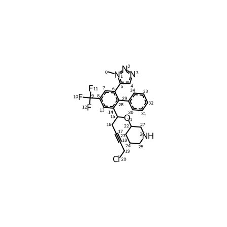 Cn1nncc1-c1cc(C(F)(F)F)cc(C(CC#CCCl)OC2CCCNC2)c1-c1ccccc1